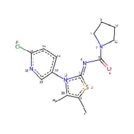 Cc1sc(=NC(=O)N2CCCC2)n(-c2ccc(Cl)nc2)c1C